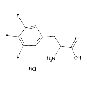 Cl.NC(Cc1cc(F)c(F)c(F)c1)C(=O)O